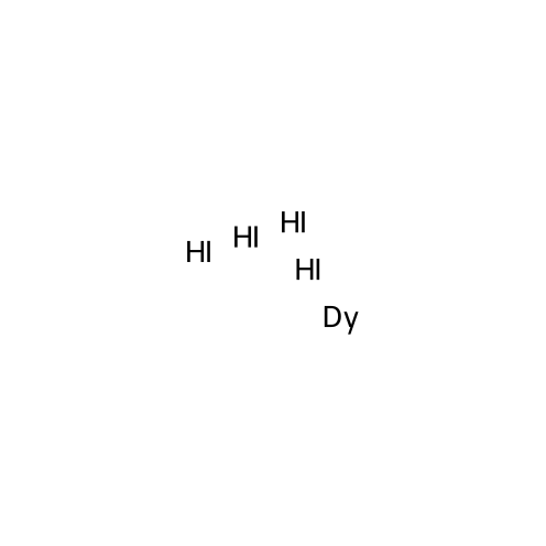 I.I.I.I.[Dy]